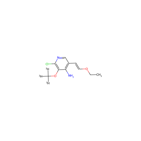 [2H]C([2H])([2H])Oc1c(Cl)ncc(/C=C/OCC)c1N